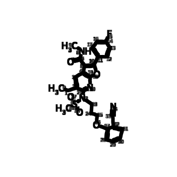 CCc1cc2c(C(=O)NC)c(-c3ccc(F)cc3)oc2nc1N(CCCOc1ccccc1C#N)S(C)(=O)=O